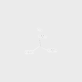 COC(C=O)OC.[Zn]